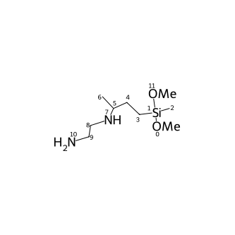 CO[Si](C)(CCC(C)NCCN)OC